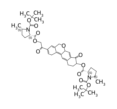 C[C@H]1CC[C@@H](C(=O)OCC(=O)C2=CCC3=C4C=C5CCC(OC(=O)[C@@H]6CC[C@H](C)N6C(=O)OC(C)(C)C)C(=O)C5=CC4OCC3=C2)N1C(=O)OC(C)(C)C